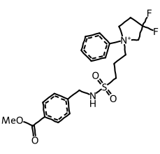 COC(=O)c1ccc(CNS(=O)(=O)CCC[N+]2(c3ccccc3)CCC(F)(F)C2)cc1